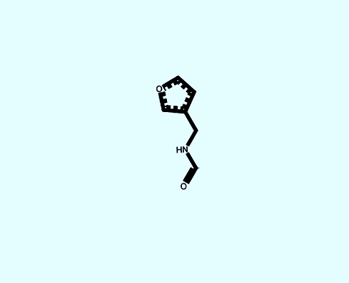 O=[C]NCc1ccoc1